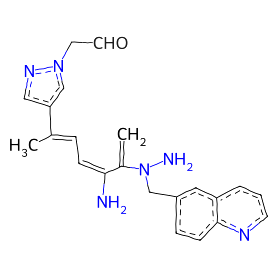 C=C(/C(N)=C\C=C(/C)c1cnn(CC=O)c1)N(N)Cc1ccc2ncccc2c1